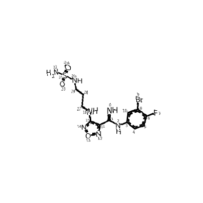 N=C(Nc1ccc(F)c(Br)c1)c1nonc1NCCCNS(N)(=O)=O